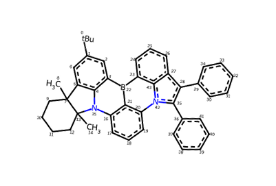 CC(C)(C)c1cc2c3c(c1)C1(C)CCCCC1(C)N3c1cccc3c1B2c1cccc2c(-c4ccccc4)c(-c4ccccc4)n-3c12